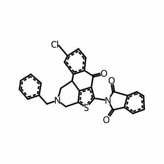 O=C1c2ccc(Cl)cc2C2CN(Cc3ccccc3)Cc3sc(N4C(=O)c5ccccc5C4=O)c1c32